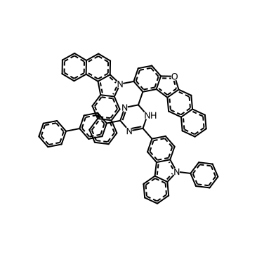 c1ccc(-c2ccc(C3=NC(c4c(-n5c6cc7ccccc7cc6c6c7ccccc7ccc65)ccc5oc6cc7ccccc7cc6c45)NC(c4ccc5c(c4)c4ccccc4n5-c4ccccc4)=N3)cc2)cc1